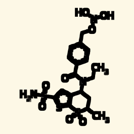 CCN(C(=O)c1ccc(CON(O)O)cc1)C1CC(C)S(=O)(=O)c2sc(S(N)(=O)=O)cc21